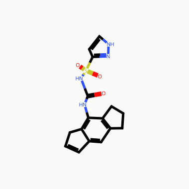 O=C(Nc1c2c(cc3c1CCC3)C=CC2)NS(=O)(=O)c1cc[nH]n1